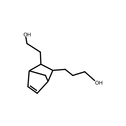 OCCCC1C2C=CC(C2)C1CCO